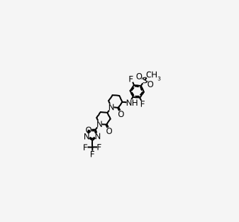 CS(=O)(=O)c1cc(F)c(NC2CCCN(C3CCN(c4nc(C(F)(F)F)no4)C(=O)C3)C2=O)cc1F